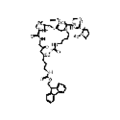 CC(=O)N1CCC[C@H]1C(=O)N[C@@H](CC(C)C)C(=O)N(CCCCNC(=O)OC(C)(C)C)CC(=O)N[C@@H](CC(C)C)C(=O)N[C@@H](CC(C)C)C(=O)NCC(=O)CCCCCNC(=O)OCC1c2ccccc2-c2ccccc21